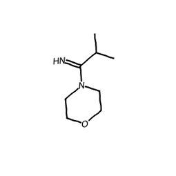 CC(C)C(=N)N1CCOCC1